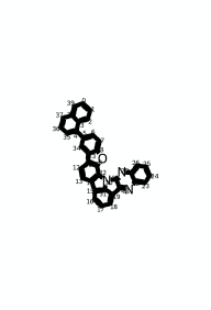 c1ccc2c(-c3ccc4oc5c(ccc6c7cccc8c9nc%10ccccc%10nc9n(c78)c65)c4c3)cccc2c1